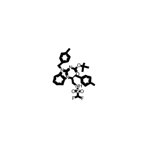 Cc1ccc(C[C@@H](CNS(=O)(=O)C(F)F)n2c(=NC(=O)OC(C)(C)C)n(Cc3ccc(C)cc3)c3ccccc32)cc1